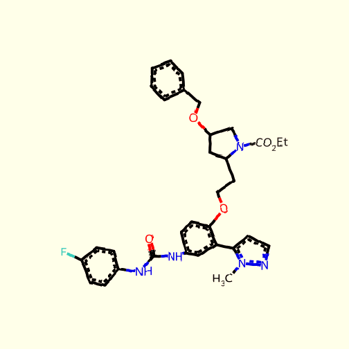 CCOC(=O)N1CC(OCc2ccccc2)CC1CCOc1ccc(NC(=O)Nc2ccc(F)cc2)cc1-c1ccnn1C